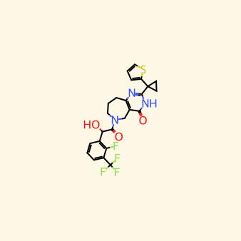 O=C(C(O)c1cccc(C(F)(F)F)c1F)N1CCCc2nc(C3(c4cccs4)CC3)[nH]c(=O)c2C1